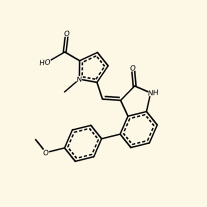 COc1ccc(-c2cccc3c2C(=Cc2ccc(C(=O)O)n2C)C(=O)N3)cc1